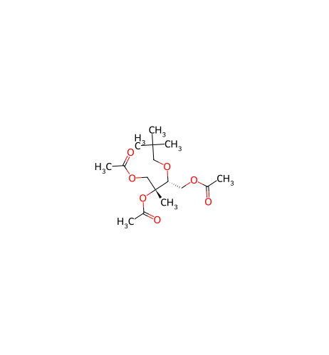 CC(=O)OC[C@@H](OCC(C)(C)C)[C@@](C)(COC(C)=O)OC(C)=O